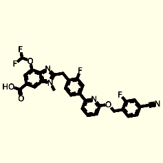 Cn1c(Cc2ccc(-c3cccc(OCc4ccc(C#N)cc4F)n3)cc2F)nc2c(OC(F)F)cc(C(=O)O)cc21